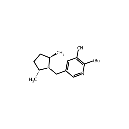 C[C@@H]1CC[C@@H](C)N1Cc1cnc(C(C)(C)C)c(C#N)c1